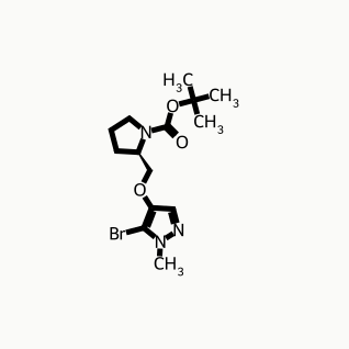 Cn1ncc(OC[C@H]2CCCN2C(=O)OC(C)(C)C)c1Br